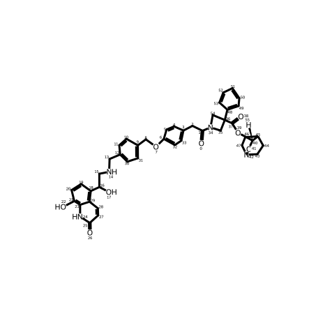 O=C(Cc1ccc(OCc2ccc(CNCC(O)c3ccc(O)c4[nH]c(=O)ccc34)cc2)cc1)N1CC(C(=O)O[C@H]2CN3CCC2CC3)(c2ccccc2)C1